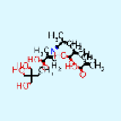 C=C(C)C#N.C=C(C)C(=O)O.C=C(C)C(=O)O.C=C(C)C(=O)O.CCC(CO)(CO)CO